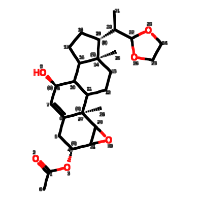 CC(=O)O[C@@H]1CC2=C[C@@H](O)C3C(CC[C@@]4(C)C3CC[C@@H]4C(C)C3OCCO3)[C@@]2(C)C2OC21